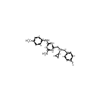 Cc1ccc(Nc2nc(N)nc(CN(Cc3ccc(F)cc3)C3CC3)n2)cc1